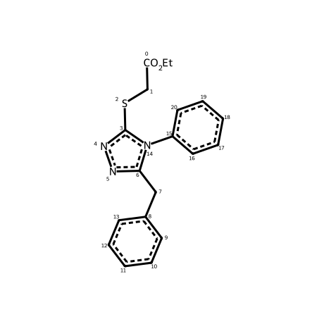 CCOC(=O)CSc1nnc(Cc2ccccc2)n1-c1ccccc1